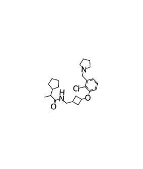 CC(C(=O)NCC1CC(Oc2cccc(CN3CCCC3)c2Cl)C1)C1CCCC1